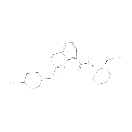 O=C(N[C@@H]1CCCC[C@@H]1CO)c1cccc2cnc(NC3CCC(O)CC3)nc12